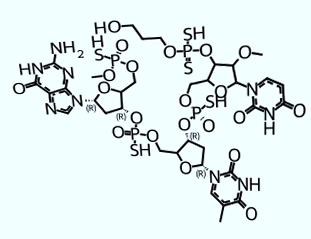 COC1C(OP(=S)(S)OCCCO)C(COP(=O)(S)O[C@@H]2C[C@H](n3cc(C)c(=O)[nH]c3=O)OC2COP(=O)(S)O[C@@H]2C[C@H](n3cnc4c(=O)[nH]c(N)nc43)OC2COP(=O)(S)OC)OC1n1ccc(=O)[nH]c1=O